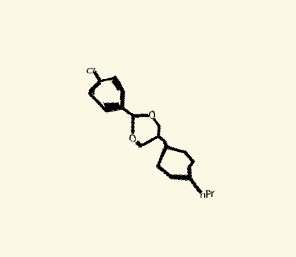 CCCC1CCC(C2COC(c3ccc(Cl)cc3)OC2)CC1